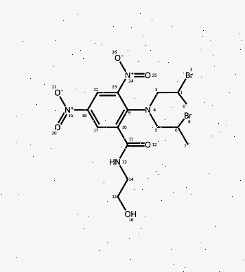 CC(Br)CN(CC(C)Br)c1c(C(=O)NCCO)cc([N+](=O)[O-])cc1[N+](=O)[O-]